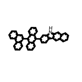 c1ccc2cc3c(cc2c1)[nH]c1cc(-c2c4ccccc4c(-c4cc5ccccc5c5ccccc45)c4ccccc24)ccc13